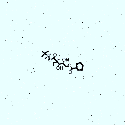 CC(C)(C)[Si](C)(C)OC(=O)C(F)(F)[C@H](O)[C@H](O)COC(=O)c1ccccc1